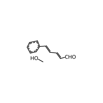 CO.O=CC=CC=Cc1ccccc1